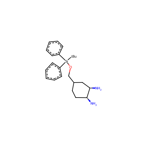 CC(C)(C)[Si](OCC1CC[C@H](N)[C@H](N)C1)(c1ccccc1)c1ccccc1